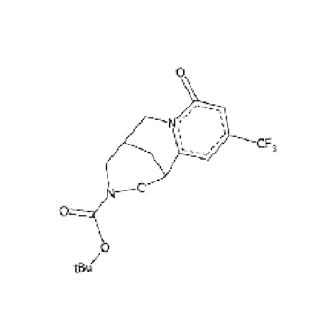 CC(C)(C)OC(=O)N1CC2CC(C1)c1cc(C(F)(F)F)cc(=O)n1C2